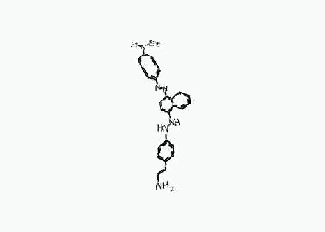 CCN(CC)c1ccc(N=Nc2ccc(NNc3ccc(C=CN)cc3)c3ccccc23)cc1